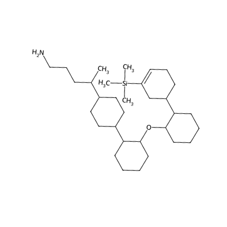 CC(CCCN)C1CCC(C2CCCCC2OC2CCCCC2C2CCC=C([Si](C)(C)C)C2)CC1